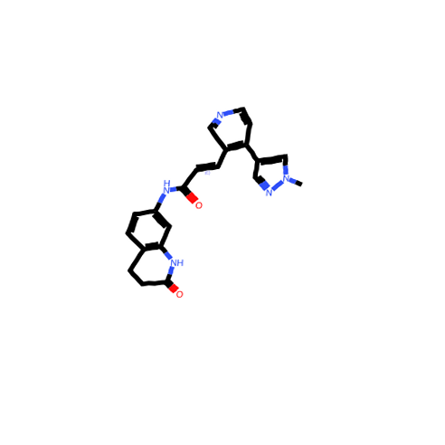 Cn1cc(-c2ccncc2/C=C/C(=O)Nc2ccc3c(c2)NC(=O)CC3)cn1